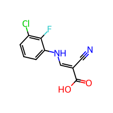 N#C/C(=C\Nc1cccc(Cl)c1F)C(=O)O